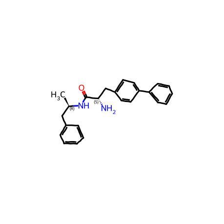 C[C@H](Cc1ccccc1)NC(=O)[C@@H](N)Cc1ccc(-c2ccccc2)cc1